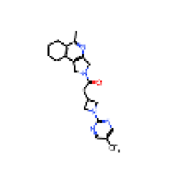 Cc1nc2c(c3c1CCCC3)CN(C(=O)CC1CN(c3ncc(C(F)(F)F)cn3)C1)C2